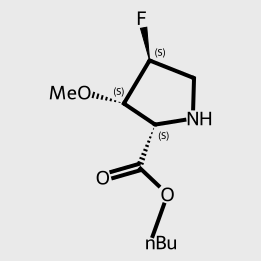 CCCCOC(=O)[C@H]1NC[C@H](F)[C@H]1OC